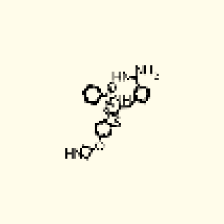 N=C(N)c1cccc(CC(NS(=O)(=O)c2ccccc2)c2nc3ccc(OC4CNC4)cc3s2)c1